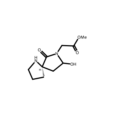 COC(=O)CN1C(=O)[C@@]2(CCCN2)CC1O